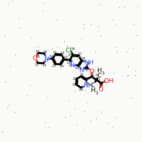 CC(C)(C(=O)O)C(Oc1nc2nc(-c3ccc(N4CCOCC4)cc3)c(Cl)cc2[nH]1)C1=CC=CCN1